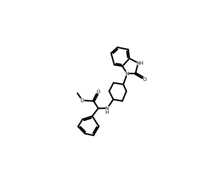 COC(=O)C(NC1CCC(n2c(=O)[nH]c3ccccc32)CC1)c1ccccc1